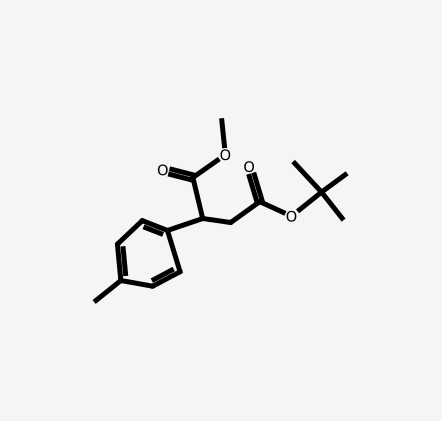 COC(=O)C(CC(=O)OC(C)(C)C)c1ccc(C)cc1